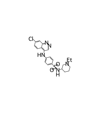 CCN1CCCC(NS(=O)(=O)c2ccc(Nc3cnnc4cc(Cl)ccc34)cc2)C1